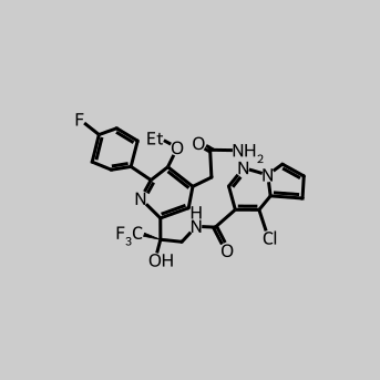 CCOc1c(CC(N)=O)cc([C@@](O)(CNC(=O)c2cnn3cccc3c2Cl)C(F)(F)F)nc1-c1ccc(F)cc1